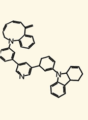 C=C1/C=C\C=C/CN(c2cccc(-c3cncc(C4C=C(N5c6ccccc6C6CCC=CC65)C=CC4)c3)c2)c2ccccc21